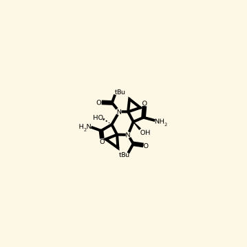 CC(C)(C)C(=O)N1C2(CC2)[C@](O)(C(N)=O)N(C(=O)C(C)(C)C)C2(CC2)[C@@]1(O)C(N)=O